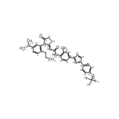 CCCc1ccc(N(C)C)cc1N1C(=O)CS/C1=N\C(=O)Nc1ccc(-c2ncn(-c3ccc(OC(F)(F)F)cn3)n2)cc1C